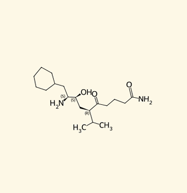 CC(C)[C@@H](C[C@H](O)[C@@H](N)CC1CCCCC1)C(=O)CCCC(N)=O